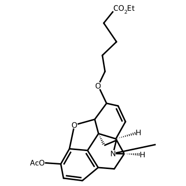 CCOC(=O)CCCCOC1C=C[C@H]2[C@H]3Cc4ccc(OC(C)=O)c5c4[C@@]2(CCN3C)C1O5